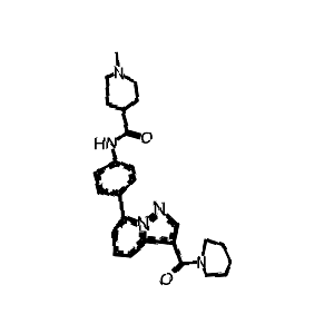 CN1CCC(C(=O)Nc2ccc(-c3cccc4c(C(=O)N5CCCCC5)cnn34)cc2)CC1